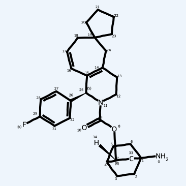 NC12CCC(CC1)[C@H](OC(=O)N1CCC3=C(C=CCC4(CCCC4)C3)[C@@H]1c1ccc(F)cc1)C2